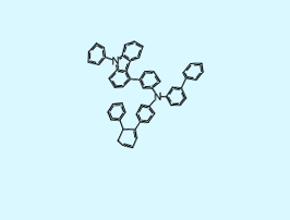 C1=CCC(c2ccccc2)C(c2ccc(N(c3cccc(-c4ccccc4)c3)c3cccc(-c4cccc5c4c4ccccc4n5-c4ccccc4)c3)cc2)=C1